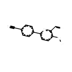 COc1ccc(-c2ccc(C#N)cc2)nc1C=O